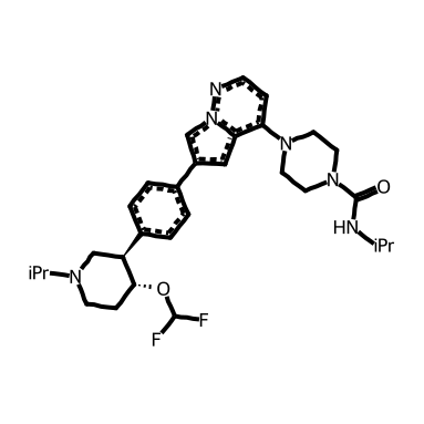 CC(C)NC(=O)N1CCN(c2ccnn3cc(-c4ccc([C@@H]5CN(C(C)C)CC[C@H]5OC(F)F)cc4)cc23)CC1